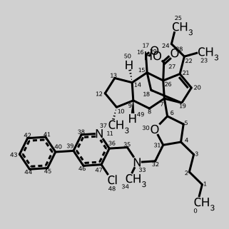 CCCCC1CC(C23C[C@@H]4[C@H](C)CC[C@H]4C4(C=O)CC2C=C(C(C)CC)C34C(=O)O)OC1CN(C)Cc1ncc(-c2ccccc2)cc1Cl